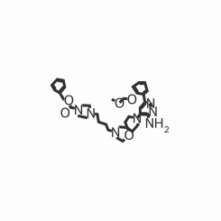 COCOc1ccccc1-c1cc(N2CCC3(CC2)CN(CCCCN2CCN(C(=O)OCc4ccccc4)CC2)CCO3)c(N)nn1